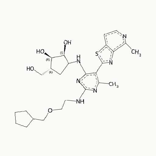 Cc1nc(NCCOCC2CCCC2)nc(NC2C[C@H](CO)[C@@H](O)[C@H]2O)c1-c1nc2c(C)nccc2s1